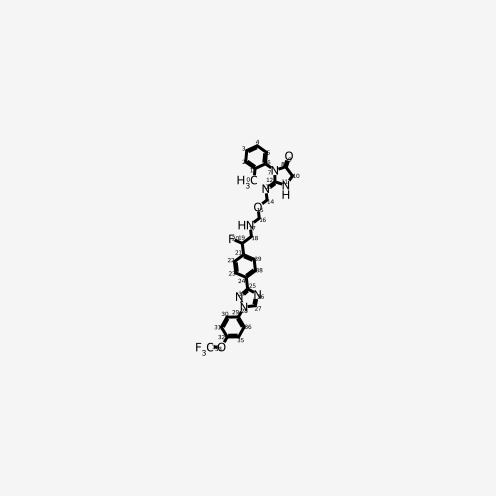 Cc1ccccc1N1C(=O)CN/C1=N\COCNCC(F)c1ccc(-c2ncn(-c3ccc(OC(F)(F)F)cc3)n2)cc1